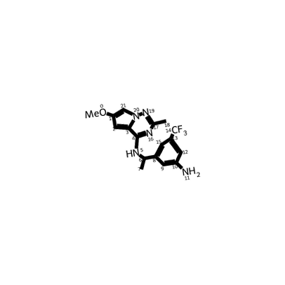 COc1cc2c(NC(C)c3cc(N)cc(C(F)(F)F)c3)nc(C)nn2c1